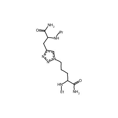 CCNC(CCCn1cc(CC(NC(C)C)C(N)=O)nn1)C(N)=O